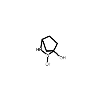 ON1NC2CCC1(O)C2